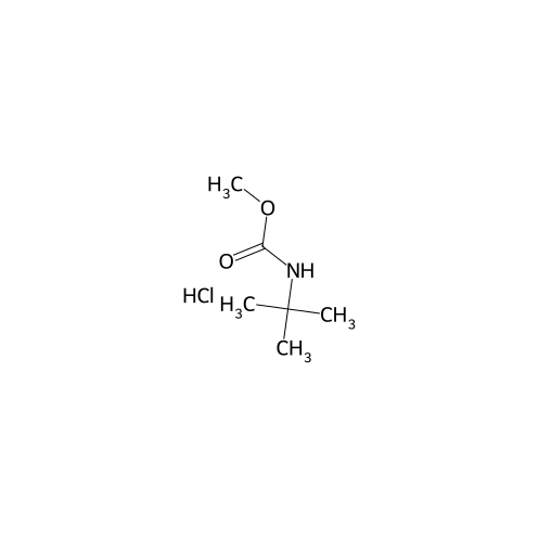 COC(=O)NC(C)(C)C.Cl